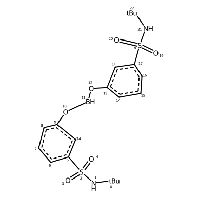 CC(C)(C)NS(=O)(=O)c1cccc(OBOc2cccc(S(=O)(=O)NC(C)(C)C)c2)c1